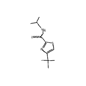 CC(C)NC(=O)c1nc(C(C)(C)C)cs1